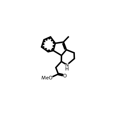 COC(=O)CC1NCCC2=C(C)c3ccccc3C21